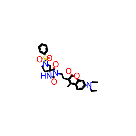 CCN(CC)c1ccc2c(C)c(CCN3C(=O)NC4(CCN(S(=O)(=O)c5ccccc5)C4)C3=O)c(=O)oc2c1